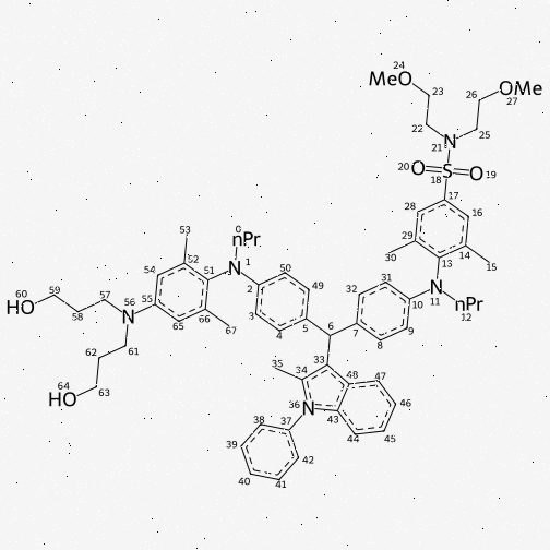 CCCN(c1ccc(C(c2ccc(N(CCC)c3c(C)cc(S(=O)(=O)N(CCOC)CCOC)cc3C)cc2)c2c(C)n(-c3ccccc3)c3ccccc23)cc1)c1c(C)cc(N(CCCO)CCCO)cc1C